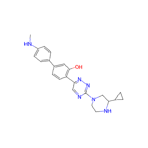 CNc1ccc(-c2ccc(-c3cnc(N4CCNC(C5CC5)C4)nn3)c(O)c2)cc1